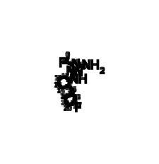 CC(F)c1nc(N)nc(NC2CCCCC2Cc2cccc(F)c2)n1